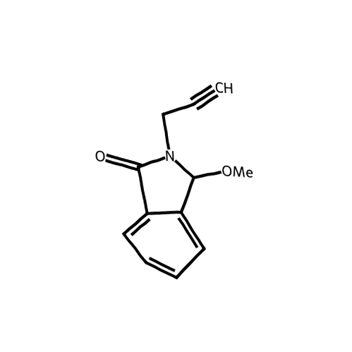 C#CCN1C(=O)c2ccccc2C1OC